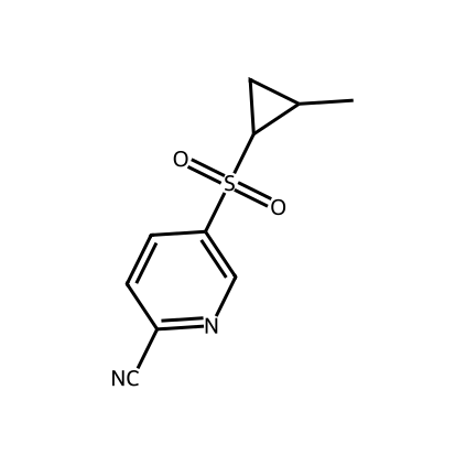 CC1CC1S(=O)(=O)c1ccc(C#N)nc1